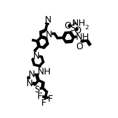 C=CC(=O)Nc1ccc(CCn2c(C#N)cc3c(C)c(CN4CCC(Nc5ncnc6sc(CC(F)(F)F)cc56)CC4)ccc32)cc1S(N)(=O)=O